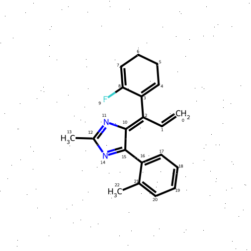 C=C/C(C1=CCCC=C1F)=C1/N=C(C)N=C1c1ccccc1C